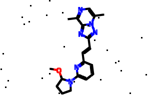 COC1CCCN1c1cccc(C=Cc2nc3c(C)ncc(C)n3n2)n1